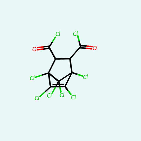 O=C(Cl)C1C(C(=O)Cl)C2(Cl)C(Cl)=C(Cl)C1(Cl)C2(Cl)Cl